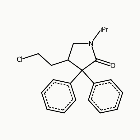 CC(C)N1CC(CCCl)C(c2ccccc2)(c2ccccc2)C1=O